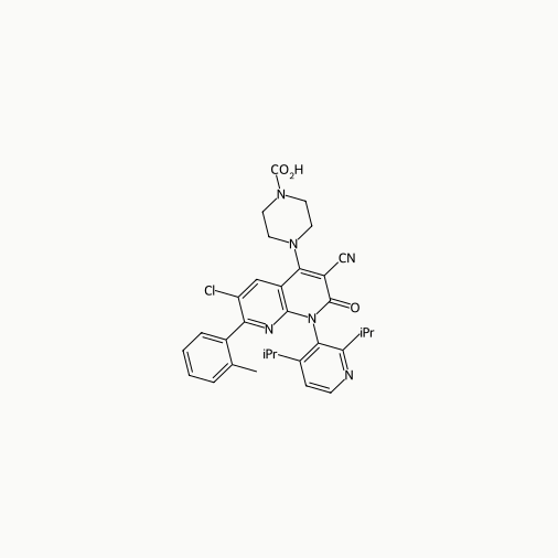 Cc1ccccc1-c1nc2c(cc1Cl)c(N1CCN(C(=O)O)CC1)c(C#N)c(=O)n2-c1c(C(C)C)ccnc1C(C)C